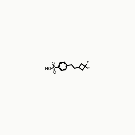 O=S(=O)(O)c1ccc(CCC2CC(F)(F)C2)cc1